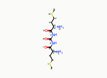 CSCC[C@H](N)C(=O)NC(=O)NC(=O)[C@@H](N)CCSC